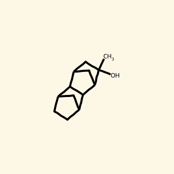 CC1(O)CC2CC1C1C3CCC(C3)C21